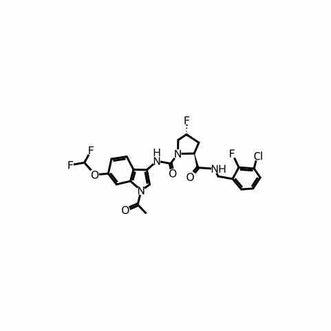 CC(=O)n1cc(NC(=O)N2C[C@H](F)C[C@H]2C(=O)NCc2cccc(Cl)c2F)c2ccc(OC(F)F)cc21